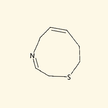 C1=CCN=CCSCC1